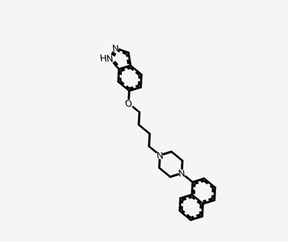 c1ccc2c(N3CCN(CCCCOc4ccc5cn[nH]c5c4)CC3)cccc2c1